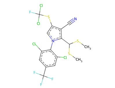 CSC(SC)c1c(C#N)c(SC(F)(Cl)Cl)cn1-c1c(Cl)cc(C(F)(F)F)cc1Cl